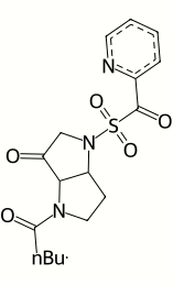 CCC[CH]C(=O)N1CCC2C1C(=O)CN2S(=O)(=O)C(=O)c1ccccn1